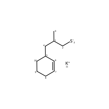 CC(C[S-])CC1C=CCCC1.[K+]